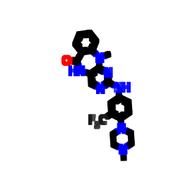 CN1CCN(c2ccc(Nc3ncc4c(n3)N(C)c3ccccc3C(=O)N4)cc2C(F)(F)F)CC1